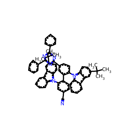 CC(C)(C)c1ccc2c(c1)c1ccccc1n2-c1ccc(-c2nc(-c3ccccc3)nc(-c3ccccc3)n2)cc1-c1ccc(C#N)cc1-n1c2ccccc2c2cc(C(C)(C)C)ccc21